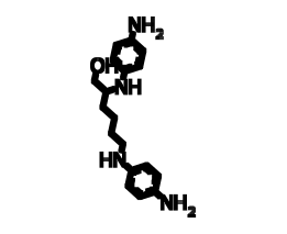 Nc1ccc(NCCCCC(CO)Nc2ccc(N)cc2)cc1